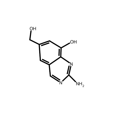 Nc1ncc2cc(CO)cc(O)c2n1